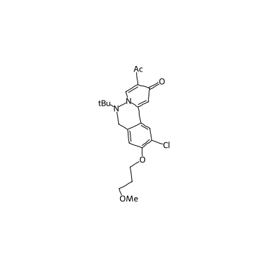 COCCCOc1cc2c(cc1Cl)-c1cc(=O)c(C(C)=O)cn1N(C(C)(C)C)C2